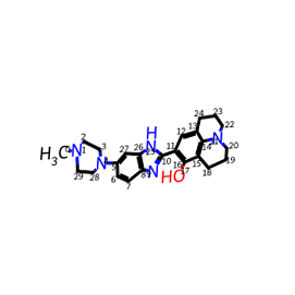 CN1CCN(c2ccc3nc(-c4cc5c6c(c4O)CCCN6CCC5)[nH]c3c2)CC1